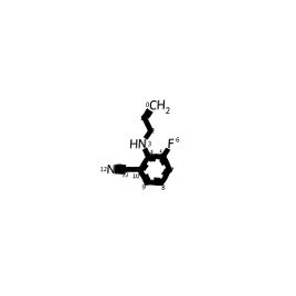 C=CCNc1c(F)cccc1C#N